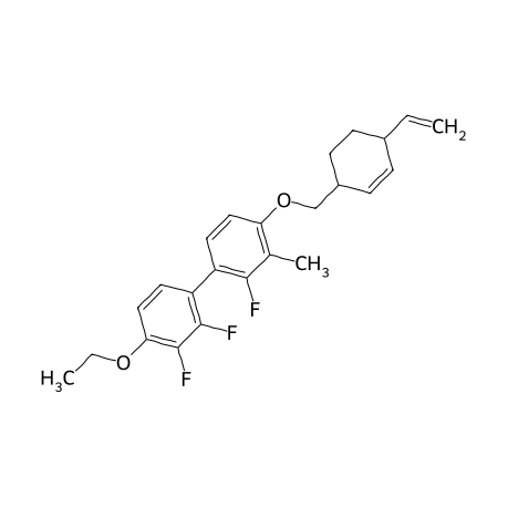 C=CC1C=CC(COc2ccc(-c3ccc(OCC)c(F)c3F)c(F)c2C)CC1